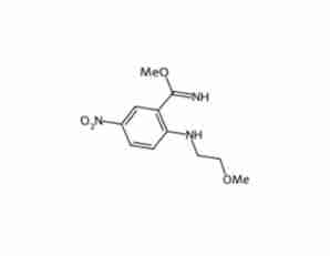 COCCNc1ccc([N+](=O)[O-])cc1C(=N)OC